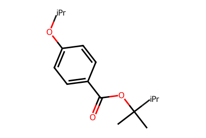 CC(C)Oc1ccc(C(=O)OC(C)(C)C(C)C)cc1